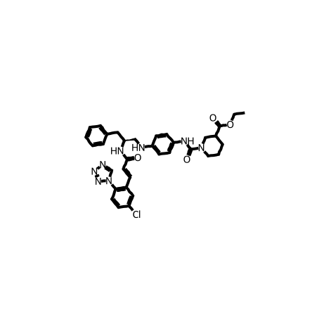 CCOC(=O)C1CCCN(C(=O)Nc2ccc(NC[C@H](Cc3ccccc3)NC(=O)/C=C/c3cc(Cl)ccc3-n3cnnn3)cc2)C1